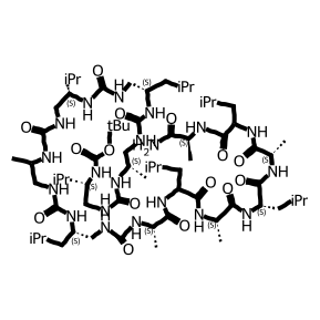 CC(C)CC(NC(=O)[C@H](C)NC(=O)NC[C@H](CC(C)C)NC(=O)NCC(C)NC(=O)NC[C@@H](NC(=O)NC[C@H](CC(C)C)NC(=O)NC[C@H](C)NC(=O)NC[C@@H](NC(=O)OC(C)(C)C)C(C)C)C(C)C)C(=O)N[C@@H](C)C(=O)N[C@@H](CC(C)C)C(=O)N[C@@H](C)C(=O)NC(CC(C)C)C(=O)N[C@@H](C)C(N)=O